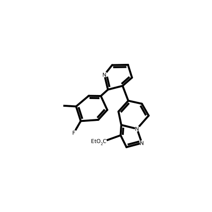 CCOC(=O)c1cnn2ccc(-c3cccnc3-c3ccc(F)c(C)c3)cc12